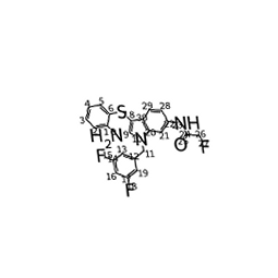 Nc1ccccc1Sc1cn(Cc2cc(F)cc(F)c2)c2cc(NC(=O)CF)ccc12